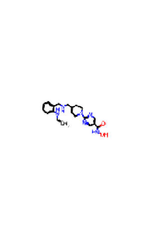 C=CNc1ccccc1CNCC1CCN(c2ncc(C(=O)NO)cn2)CC1